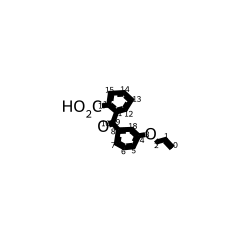 C=CCOc1cccc(C(=O)c2ccccc2C(=O)O)c1